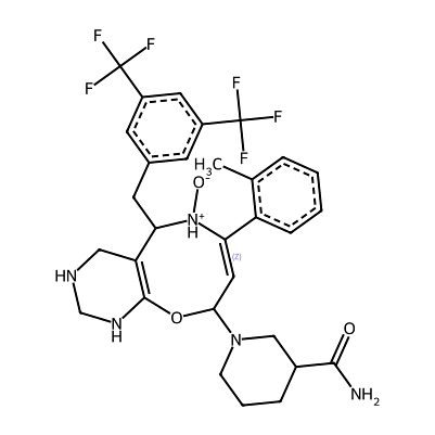 Cc1ccccc1/C1=C/C(N2CCCC(C(N)=O)C2)OC2=C(CNCN2)C(Cc2cc(C(F)(F)F)cc(C(F)(F)F)c2)[NH+]1[O-]